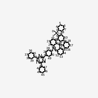 CC1(C)c2ccccc2-c2ccc(C3(c4ccccc4)c4ccccc4N(c4ccc(-c5nc(-c6ccccc6)nc(-c6ccccc6)n5)cc4)c4ccccc43)cc21